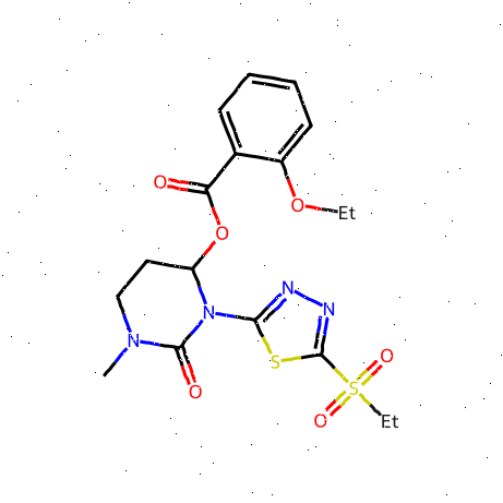 CCOc1ccccc1C(=O)OC1CCN(C)C(=O)N1c1nnc(S(=O)(=O)CC)s1